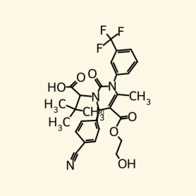 CC1=C(C(=O)OCCO)[C@@H](c2ccc(C#N)cc2)N(C(C(=O)O)C(C)(C)C)C(=O)N1c1cccc(C(F)(F)F)c1